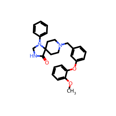 COc1ccccc1Oc1cccc(CN2CCC3(CC2)C(=O)NCN3c2ccccc2)c1